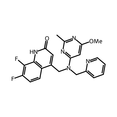 COc1cc(N(Cc2ccccn2)Cc2cc(=O)[nH]c3c(F)c(F)ccc23)nc(C)n1